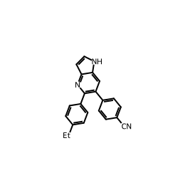 CCc1ccc(-c2nc3cc[nH]c3cc2-c2ccc(C#N)cc2)cc1